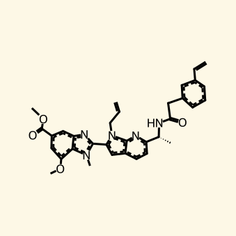 C=CCn1c(-c2nc3cc(C(=O)OC)cc(OC)c3n2C)cc2ccc([C@@H](C)NC(=O)Cc3cccc(C=C)c3)nc21